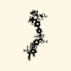 COC(=O)C[C@@H]1N=C(c2ccc(-c3ccc(C(=O)NC(CO)c4ccc(S(=O)(=O)Nc5ccc(C)c6c(C#N)c[nH]c56)cc4)cc3)cc2)c2c(sc(C)c2C)-n2c(C)nnc21